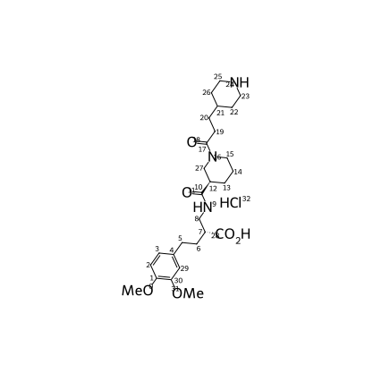 COc1ccc(CC[C@H](CNC(=O)[C@@H]2CCCN(C(=O)CCC3CCNCC3)C2)C(=O)O)cc1OC.Cl